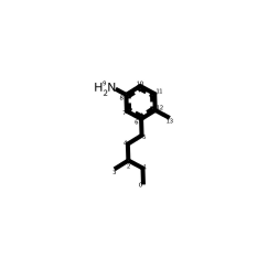 CCC(C)CCc1cc(N)ccc1C